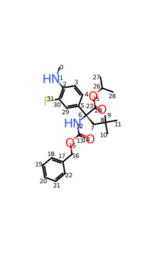 CNc1ccc([C@@](CC(C)(C)C)(NC(=O)OCc2ccccc2)C(=O)OC(C)C)cc1F